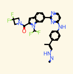 C=NN/C=C(\C)c1ccc(Nc2ccnc(-c3ccc4cc(C(=O)N5CC(F)(F)C5)n(C(F)F)c4c3)n2)cc1